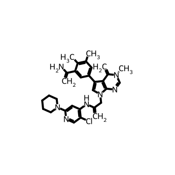 C=C(Cn1cc(-c2cc(C)c(C)c(C(=C)N)c2)c2c1N=CN(C)C2=C)Nc1cc(N2CCCCC2)ncc1Cl